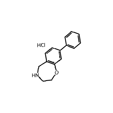 Cl.c1ccc(-c2ccc3c(c2)OCCNC3)cc1